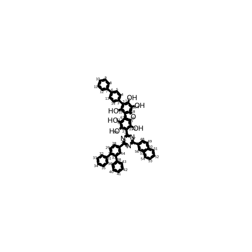 Oc1c(-c2ccc(-c3ccccc3)cc2)c(O)c2c(oc3c(O)c(-c4nc(-c5ccc(-c6ccccc6)c(-c6ccccc6)c5)nc(-c5ccc6ccccc6c5)n4)c(O)c(O)c32)c1O